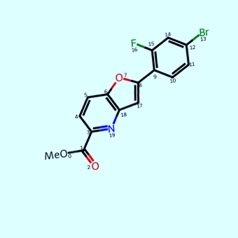 COC(=O)c1ccc2oc(-c3ccc(Br)cc3F)cc2n1